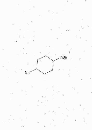 CCCCC1CC[CH]([Na])CC1